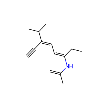 C#C/C(=C\C=C(/CC)NC(=C)C)C(C)C